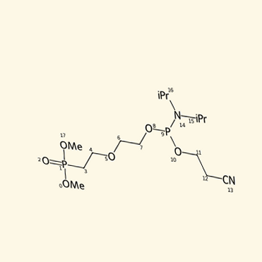 COP(=O)(CCOCCOP(OCCC#N)N(C(C)C)C(C)C)OC